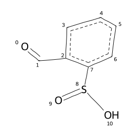 O=Cc1ccccc1S(=O)O